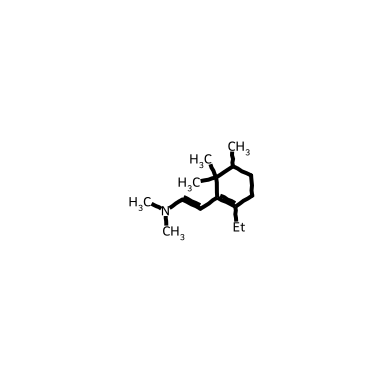 CCC1=C(C=CN(C)C)C(C)(C)C(C)CC1